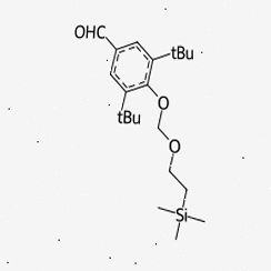 CC(C)(C)c1cc(C=O)cc(C(C)(C)C)c1OCOCC[Si](C)(C)C